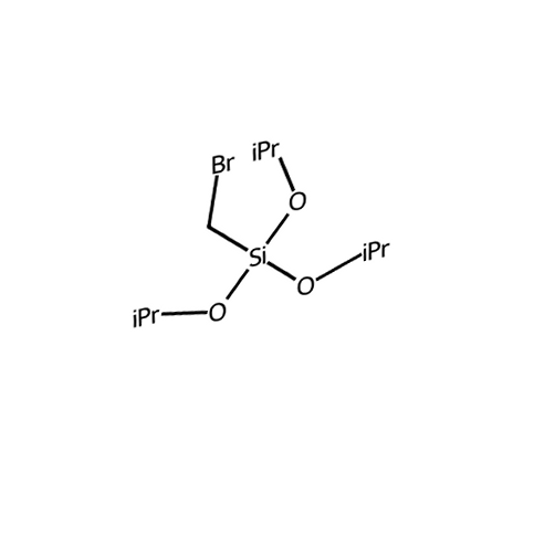 CC(C)O[Si](CBr)(OC(C)C)OC(C)C